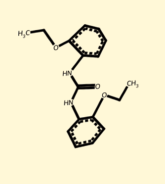 CCOc1ccccc1NC(=O)Nc1ccccc1OCC